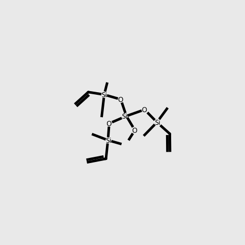 C=C[Si](C)(C)O[Si](OC)(O[Si](C)(C)C=C)O[Si](C)(C)C=C